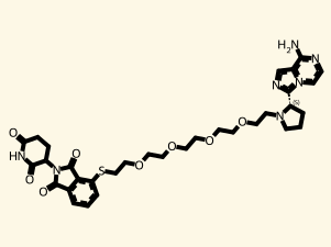 Nc1nccn2c([C@@H]3CCCN3CCOCCOCCOCCOCCSc3cccc4c3C(=O)N(C3CCC(=O)NC3=O)C4=O)ncc12